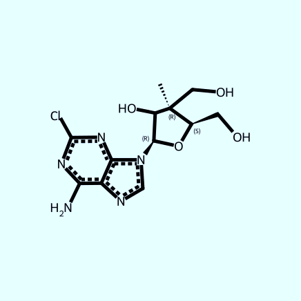 C[C@@]1(CO)C(O)[C@H](n2cnc3c(N)nc(Cl)nc32)O[C@@H]1CO